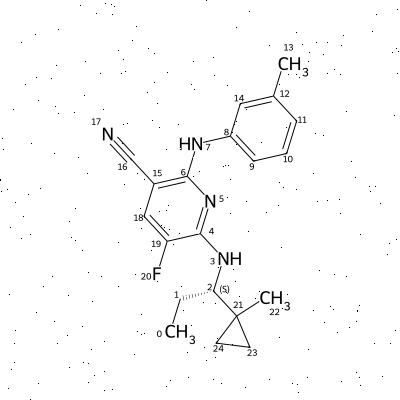 CC[C@H](Nc1nc(Nc2cccc(C)c2)c(C#N)cc1F)C1(C)CC1